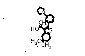 C=C(O)c1c(-c2cccc(N3CCCC3)c2)sc2c1CC(C)(C)CC2